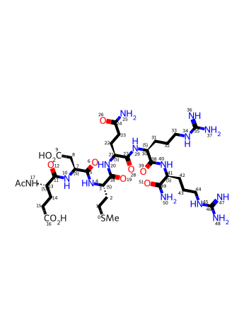 CSCC[C@H](NC(=O)[C@H](CC(=O)O)NC(=O)[C@H](CCC(=O)O)NC(C)=O)C(=O)N[C@@H](CCC(N)=O)C(=O)N[C@@H](CCCNC(=N)N)C(=O)N[C@@H](CCCNC(=N)N)C(N)=O